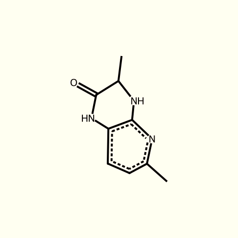 Cc1ccc2c(n1)NC(C)C(=O)N2